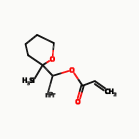 C=CC(=O)OC(CCC)C1([SiH3])CCCCO1